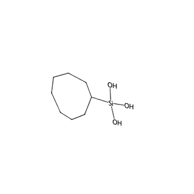 O[Si](O)(O)C1CCCCCCC1